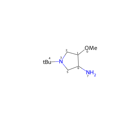 COC1CN(C(C)(C)C)CC1N